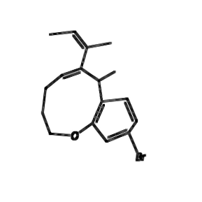 C/C=C(C)\C1=C\CCCOc2cc(Br)ccc2C1C